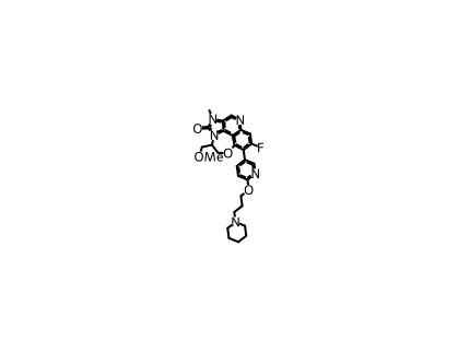 COCC1COc2c(-c3ccc(OCCCN4CCCCC4)nc3)c(F)cc3ncc4c(c23)n1c(=O)n4C